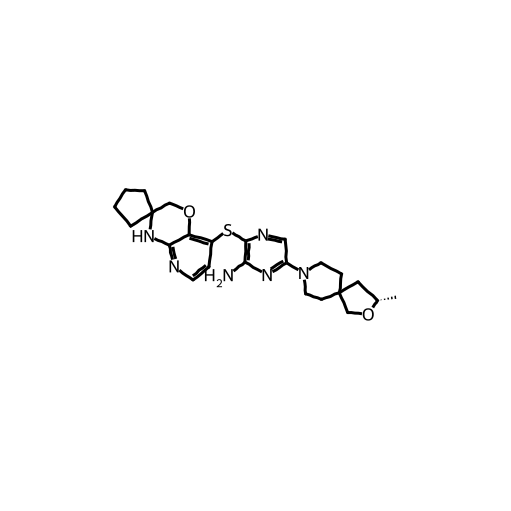 C[C@H]1CC2(CCN(c3cnc(Sc4ccnc5c4OCC4(CCCC4)N5)c(N)n3)CC2)CO1